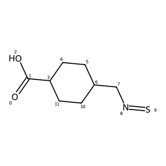 O=C(O)C1CCC(CN=S)CC1